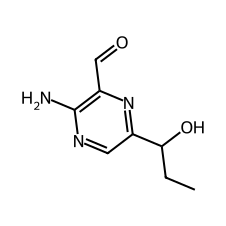 CCC(O)c1cnc(N)c(C=O)n1